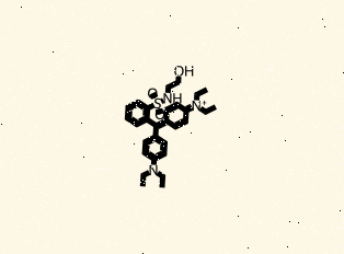 CCN(CC)c1ccc(C(=C2C=CC(=[N+](CC)CC)C=C2)c2ccccc2S(=O)(=O)NCCO)cc1